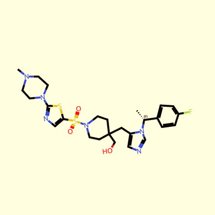 C[C@H](c1ccc(F)cc1)n1cncc1CC1(CO)CCN(S(=O)(=O)c2cnc(N3CCN(C)CC3)s2)CC1